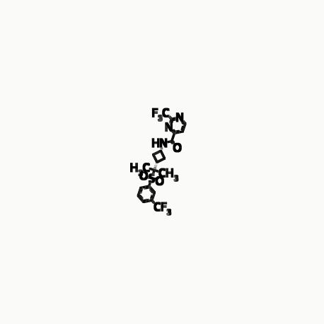 CC(C)([C@H]1C[C@@H](NC(=O)c2ccnc(C(F)(F)F)n2)C1)S(=O)(=O)c1cccc(C(F)(F)F)c1